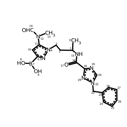 CC(CCn1nc(B(O)O)cc1N(C)C=O)NC(=O)c1ncn(Cc2ccccc2)n1